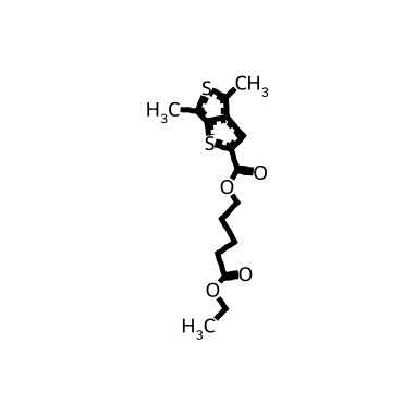 CCOC(=O)CCCCOC(=O)c1cc2c(C)sc(C)c2s1